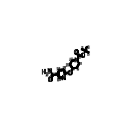 CC(C)(C)OC(=O)N1CCC(Oc2ccc(C(N)=O)cn2)CC1